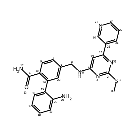 CSc1nc(NCc2ccc(C(N)=O)c(-c3ccccc3N)c2)cc(-c2cccnc2)n1